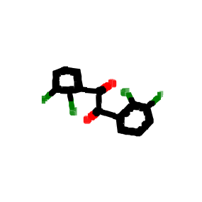 O=C(C(=O)c1cccc(F)c1Cl)c1cccc(F)c1Cl